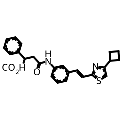 O=C(CC(C(=O)O)c1ccccc1)Nc1cccc(/C=C/c2nc(C3CCC3)cs2)c1